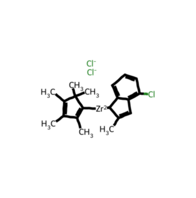 CC1=Cc2c(Cl)cccc2[CH]1[Zr+2][C]1=C(C)C(C)=C(C)C1(C)C.[Cl-].[Cl-]